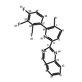 Cc1ccc(-c2ncc3ccccc3n2)nc1-c1ccc(F)c(F)c1F